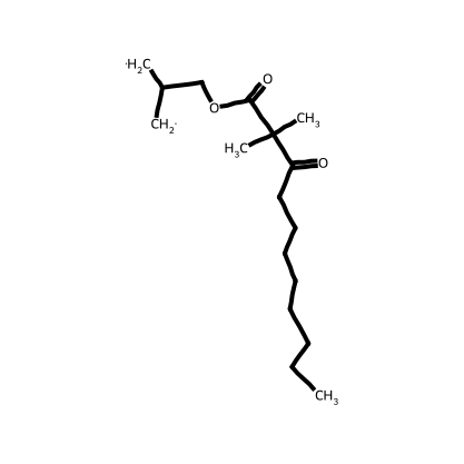 [CH2]C([CH2])COC(=O)C(C)(C)C(=O)CCCCCCCC